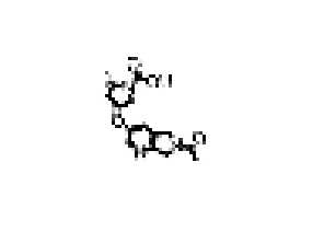 CC(=O)N1Cc2cc(O[C@@H]3C[C@H](C)N(C(=O)O)C3)cnc2C1